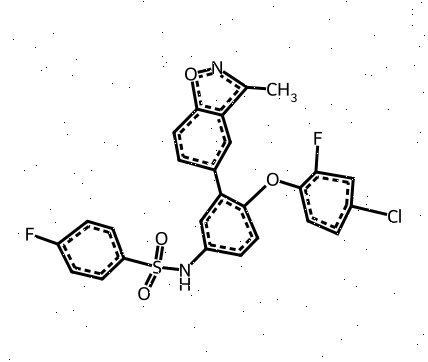 Cc1noc2ccc(-c3cc(NS(=O)(=O)c4ccc(F)cc4)ccc3Oc3ccc(Cl)cc3F)cc12